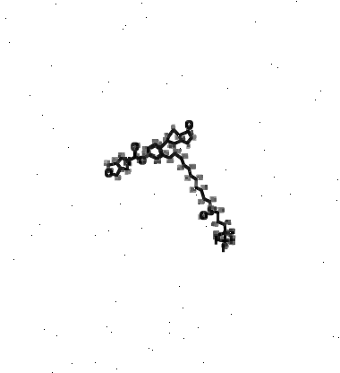 O=C1CCC2C1CCC1c3ccc(OC(=O)N4CC5COCC5C4)cc3CC(CCCCCCCCC[S+]([O-])CCCC(F)(F)C(F)(F)F)C12